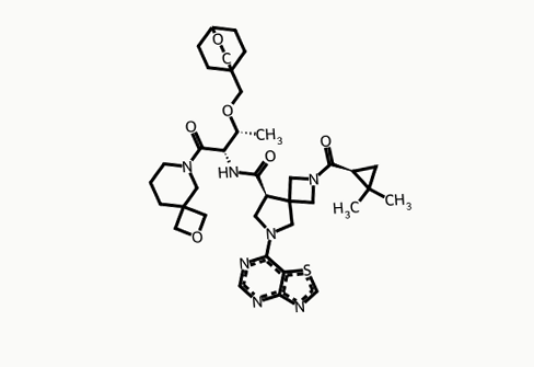 C[C@@H](OCC12CCC(CC1)OC2)[C@H](NC(=O)[C@@H]1CN(c2ncnc3ncsc23)CC12CN(C(=O)[C@H]1CC1(C)C)C2)C(=O)N1CCCC2(COC2)C1